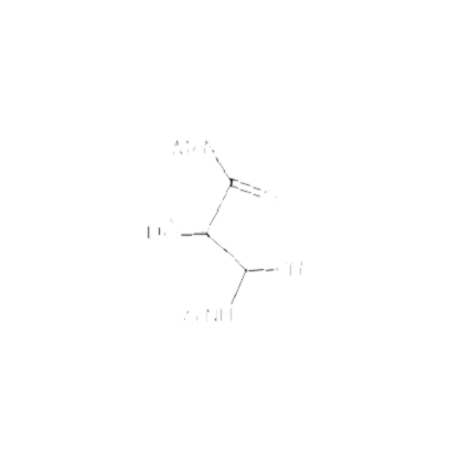 CNC(=O)C(O)C(C)NC(C)=O